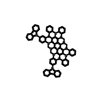 c1ccc2c(c1)B1c3cc(-n4c5ccccc5c5ccccc54)ccc3N3CB4CN5c6ccc(-n7c8ccccc8c8ccccc87)cc6B6c7ccccc7N7c8ccccc8B8CN9CB%10c%11ccccc%11N2c2c1c3c1c4c3c5c6c7c8c3c9c1c2%10